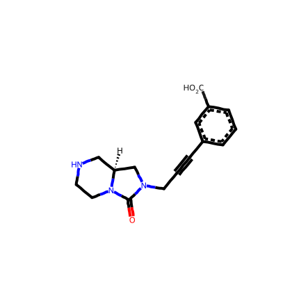 O=C(O)c1cccc(C#CCN2C[C@@H]3CNCCN3C2=O)c1